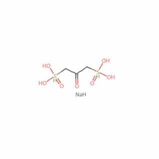 O=C(C[SH](=O)(O)O)C[SH](=O)(O)O.[NaH]